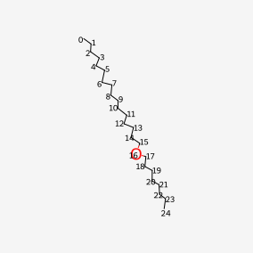 CCCCCCCCCCCCCCCCOCCCCCCCC